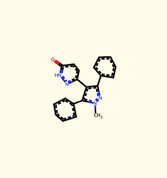 Cn1nc(-c2ccccc2)c(-c2ccc(=O)[nH]n2)c1-c1ccccc1